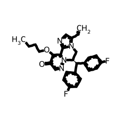 C=Cc1cnc2n1C[C@H](C(c1ccc(F)cc1)c1ccc(F)cc1)n1ncc(=O)c(OCCCC)c1-2